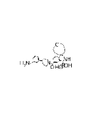 NCc1cccc(C2CCN(C(=O)c3ccc4c(c3)C(B(O)O)NCC43CCCCCCCCCC3)CC2)c1